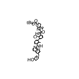 Cc1c(Nc2nccc3cc(CN4CCC(O)C4)cnc23)cccc1-c1cccc(NC(=O)c2nc3c(n2C)CCN(C(=O)OC(C)(C)C)C3)c1Cl